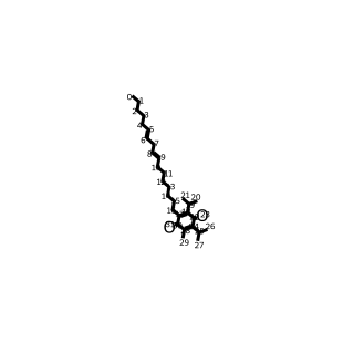 CCCCCC=CCC=CCCCCCCCC1=C(C(C)C)C(=O)C(C(C)C)=C(C)C1=O